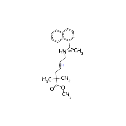 COC(=O)C(C)(C)C/C=C/CN[C@H](C)c1cccc2ccccc12